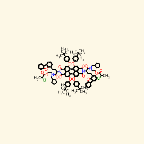 C=C(Cl)C(=O)OCCN(CC1CCCC1)C(=O)C(CCc1cccc2c1oc1ccccc12)N1C(=O)c2cc(Oc3ccc(C(C)(C)C)cc3)c3c4c(Oc5ccc(C(C)(C)C)cc5)cc5c6c(cc(Oc7ccc(C(C)(C)C)cc7)c(c7c(Oc8ccc(C(C)(C)C)cc8)cc(c2c37)C1=O)c64)C(=O)N(C(CCc1cccc2c1oc1ccccc12)C(=O)N(CCOC(=O)C(=C)Cl)CC1CCCC1)C5=O